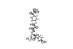 CC[C@@H](/C=N/NC(=O)NC[C@H]1CC[C@H](C(=O)NC)CC1)NC(=O)[C@H]1CC[C@H](O)C1